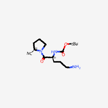 CC(C)(C)OC(=O)N[C@@H](CCCN)C(=O)N1CCC[C@H]1C#N